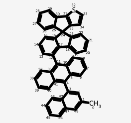 Cc1cc(-c2c3ccccc3c(-c3cccc4c3-c3ccccc3C43c4ccccc4-c4sccc43)c3ccccc23)c2ccccc2c1